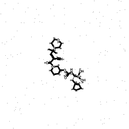 CC(C)(C=C(C#N)C(=O)N1CCCC(OC(=O)N[C@@H](CC2=CCCC2)B(O)O)C1)N1CCOCC1